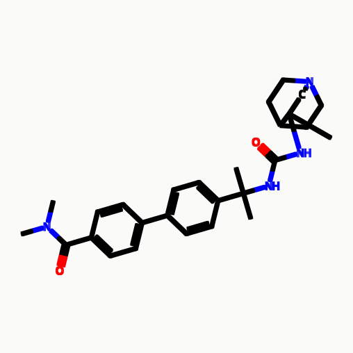 CN(C)C(=O)c1ccc(-c2ccc(C(C)(C)NC(=O)NC3(C)CN4CCC3CC4)cc2)cc1